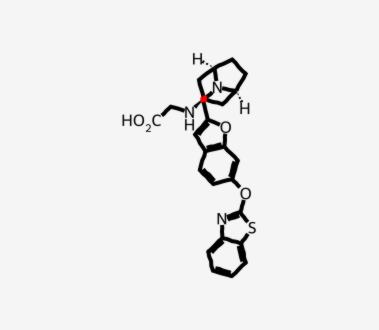 O=C(O)CN[C@H]1C[C@H]2CC[C@@H](C1)N2Cc1cc2ccc(Oc3nc4ccccc4s3)cc2o1